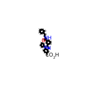 O=C(O)c1ccc2c(c1)nc(-c1cccc(C(=O)NCCc3ccccc3)c1)n2C1CCCC1